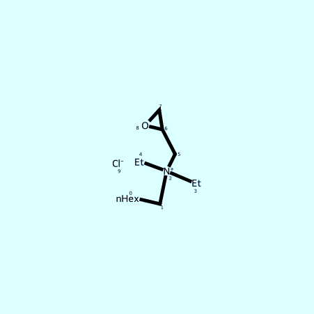 CCCCCCC[N+](CC)(CC)CC1CO1.[Cl-]